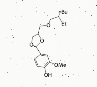 CCCCC(CC)COCC1COC(c2ccc(O)c(OC)c2)O1